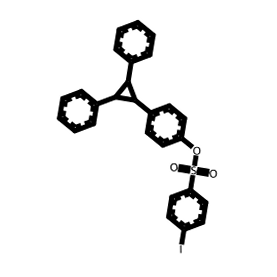 O=S(=O)(Oc1ccc(C2C(c3ccccc3)C2c2ccccc2)cc1)c1ccc(I)cc1